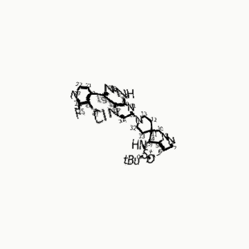 CC(C)(C)[S+]([O-])N[C@@H]1c2ccnn2CC12CCN(c1cnc3c(-c4ccnc(F)c4Cl)n[nH]c3n1)CC2